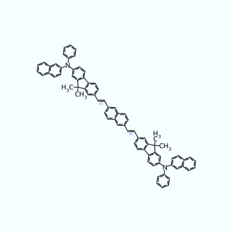 CC1(C)c2cc(/C=C/c3ccc4cc(/C=C/c5ccc6c(c5)C(C)(C)c5cc(N(c7ccccc7)c7ccc8ccccc8c7)ccc5-6)ccc4c3)ccc2-c2ccc(N(c3ccccc3)c3ccc4ccccc4c3)cc21